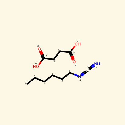 CCCCCCN=C=N.O=C(O)CCC(=O)O